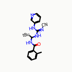 Cc1ccccc1C(=O)NC(N/C(=N/C#N)Nc1cccnc1)C(C)(C)C